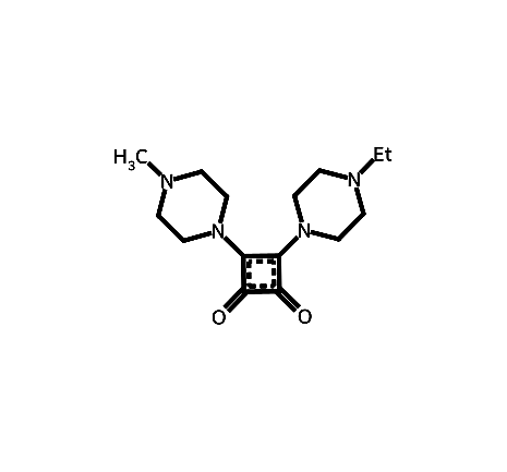 CCN1CCN(c2c(N3CCN(C)CC3)c(=O)c2=O)CC1